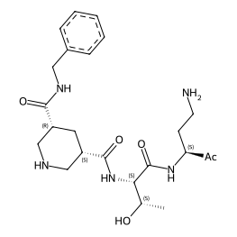 CC(=O)[C@H](CCN)NC(=O)[C@@H](NC(=O)[C@@H]1CNC[C@H](C(=O)NCc2ccccc2)C1)[C@H](C)O